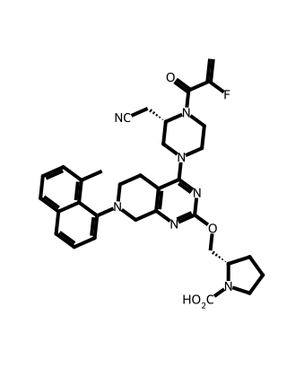 C=C(F)C(=O)N1CCN(c2nc(OC[C@@H]3CCCN3C(=O)O)nc3c2CCN(c2cccc4cccc(C)c24)C3)C[C@@H]1CC#N